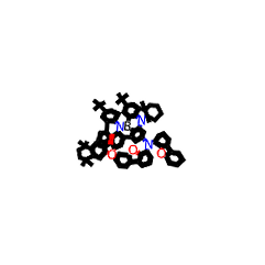 CC(C)(C)c1ccc(N2B3c4cc(C(C)(C)C)cc5c4N(c4cc(N(c6cccc7c6oc6ccccc67)c6cccc7c6oc6ccccc67)cc(c43)-c3cc4oc6cc7c(cc6c4cc32)C(C)(C)CCC7(C)C)C2(C)CCCCC52C)c(-c2ccccc2)c1